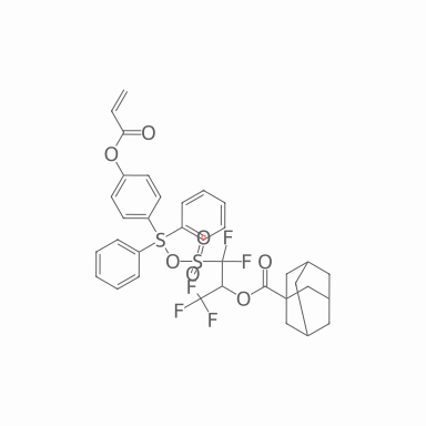 C=CC(=O)Oc1ccc(S(OS(=O)(=O)C(F)(F)C(OC(=O)C23CC4CC(CC(C4)C2)C3)C(F)(F)F)(c2ccccc2)c2ccccc2)cc1